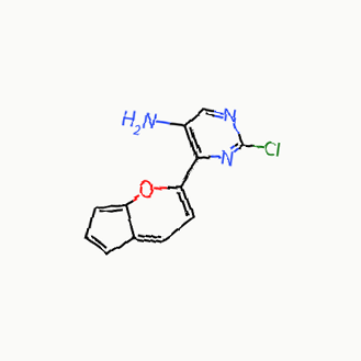 Nc1cnc(Cl)nc1-c1ccc2cccc-2o1